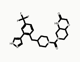 O=C1COC2CCN(C(=O)N3CCC(Cc4ccc(C(F)(F)F)cc4-c4cn[nH]c4)CC3)CC2N1